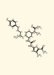 CC(=O)c1sc(NC(=O)N[C@@H]2CC(N(C)C(C)=O)CC[C@H]2CN(C)CCCc2ccc(F)cc2)nc1C